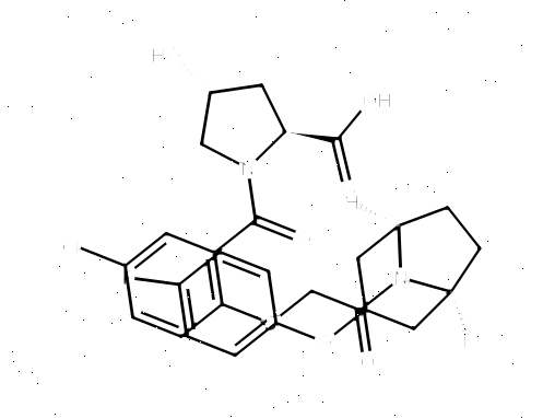 O=C(O)[C@@H]1C[C@@H](O)CN1C(=O)c1cc(Cl)ccc1OCC(=O)N1[C@@H]2CC[C@H]1CC(Oc1ccc(F)cc1)C2